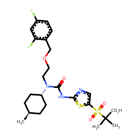 CC(C)(C(=O)O)S(=O)(=O)c1cnc(NC(=O)N(CCOCc2ccc(F)cc2F)[C@H]2CC[C@H](C)CC2)s1